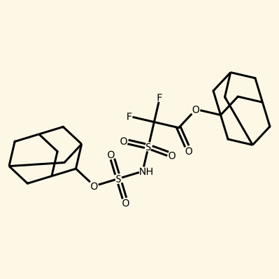 O=C(OC12CC3CC(CC(C3)C1)C2)C(F)(F)S(=O)(=O)NS(=O)(=O)OC1C2CC3CC(C2)CC1C3